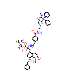 C[SiH2]OC(O[SiH2]C)C(C)(C)[C@H](CNCc1ccc(C(=O)NCCN2CC[C@@H](C(C(N)=O)(c3ccccc3)c3ccccc3)C2)cc1)c1ccc(OCc2ccccc2)c2[nH]c(=O)ccc12